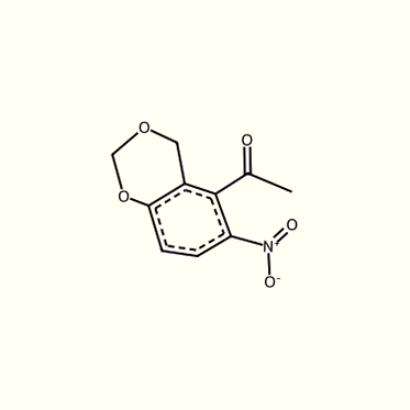 CC(=O)c1c([N+](=O)[O-])ccc2c1COCO2